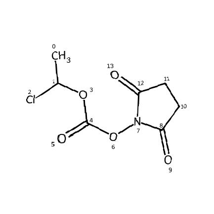 CC(Cl)OC(=O)ON1C(=O)CCC1=O